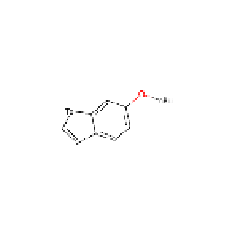 CCCCOc1ccc2cc[te]c2c1